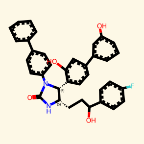 O=C1N[C@@H](CCC(O)c2ccc(F)cc2)[C@@H](c2ccc(-c3cccc(O)c3)cc2O)N1c1ccc(-c2ccccc2)cc1